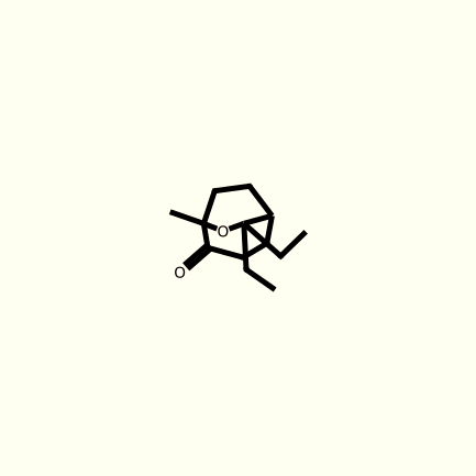 CCC1(CC)OC2(C)CCC1CCC2=O